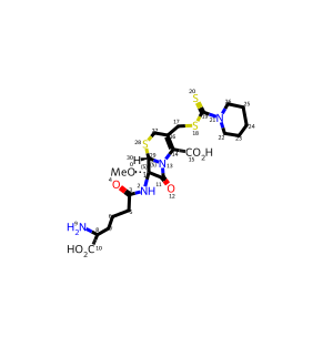 CO[C@@]1(NC(=O)CCCC(N)C(=O)O)C(=O)N2C(C(=O)O)=C(CSC(=S)N3CCCCC3)CS[C@H]21